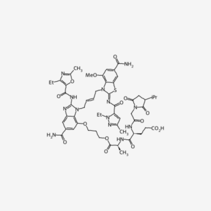 CCc1nc(C)oc1C(=O)Nc1nc2cc(C(N)=O)cc(OCCCOC(=O)[C@H](C)NC(=O)[C@H](CCC(=O)O)NC(=O)CN3C(=O)CC(C(C)C)C3=O)c2n1C/C=C/Cn1/c(=N/C(=O)c2cc(C)nn2CC)sc2cc(C(N)=O)cc(OC)c21